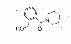 O=C(c1ccccc1CO)N1CCCCC1